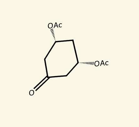 CC(=O)O[C@@H]1CC(=O)C[C@H](OC(C)=O)C1